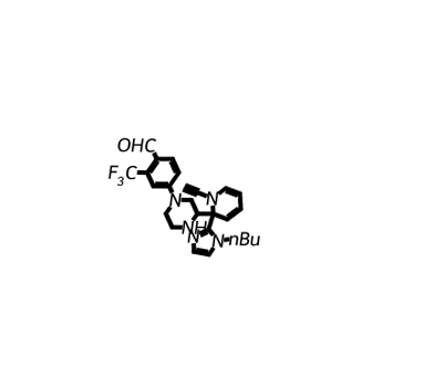 C#CN1C=CC=CC1(c1nccn1CCCC)C1CN(c2ccc(C=O)c(C(F)(F)F)c2)CCN1